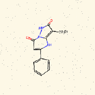 CCOC(=O)c1c(=O)[nH]n2c(=O)cc(-c3ccccc3)[nH]c12